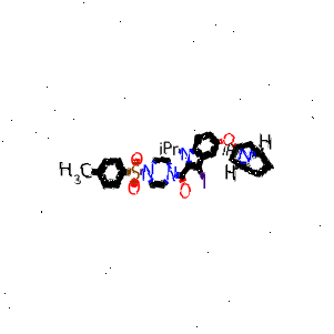 Cc1ccc(S(=O)(=O)N2CCN(C(=O)c3c(I)c4cc(OC5C[C@H]6CC[C@@H](C5)N6C(C)C)ccc4n3C(C)C)CC2)cc1